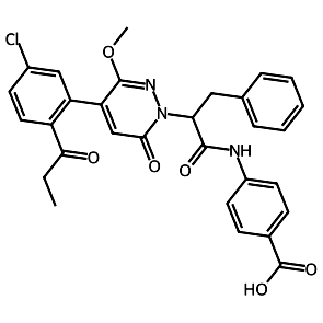 CCC(=O)c1ccc(Cl)cc1-c1cc(=O)n(C(Cc2ccccc2)C(=O)Nc2ccc(C(=O)O)cc2)nc1OC